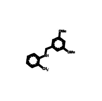 [CH2]c1ccccc1NCc1cc(OC)cc(OC)c1